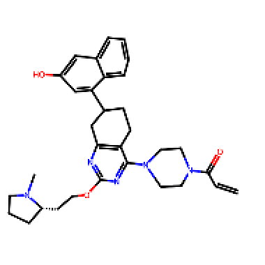 C=CC(=O)N1CCN(c2nc(OCC[C@@H]3CCCN3C)nc3c2CCC(c2cc(O)cc4ccccc24)C3)CC1